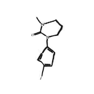 CN1CCCN(c2ccc(I)cc2)C1=O